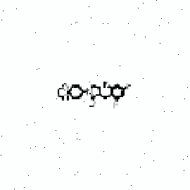 O=C1C(Cc2c(F)cc(F)cc2F)CCN1C1CCC2(CC1)OCCO2